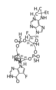 CCC(C)(C)Nc1ncnc2c1ncn2[C@@H]1O[C@@H]2COP(=O)(S)O[C@@H]3[C@H](O)[C@@H](COP(=O)(S)O[C@H]2[C@H]1F)O[C@H]3n1cc(F)c2c(=O)[nH]cnc21